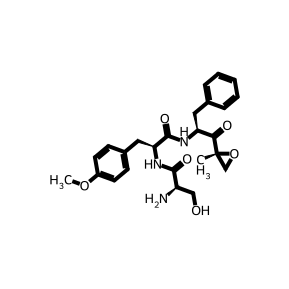 COc1ccc(C[C@H](NC(=O)[C@H](N)CO)C(=O)N[C@@H](Cc2ccccc2)C(=O)[C@@]2(C)CO2)cc1